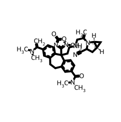 C=C(c1ccc2c(c1)CCc1cc(C(=O)N(C)C)ccc1C2(CCNCC(=C)N1C(C#N)C[C@@H]2C[C@@H]21)c1nc(=O)on1C)N(C)C